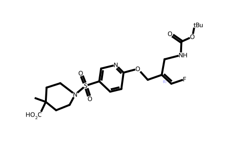 CC(C)(C)OC(=O)NC/C(=C\F)COc1ccc(S(=O)(=O)N2CCC(C)(C(=O)O)CC2)cn1